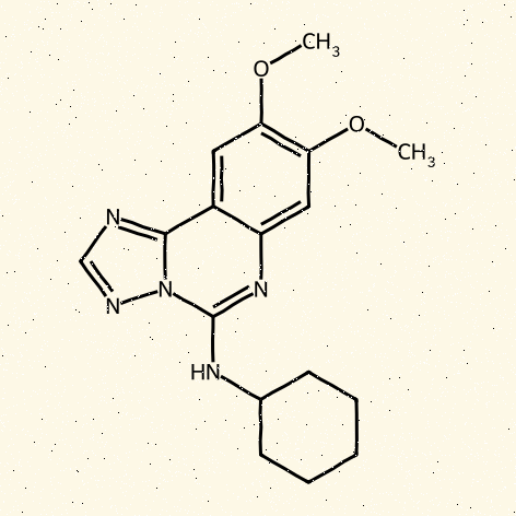 COc1cc2nc(NC3CCCCC3)n3ncnc3c2cc1OC